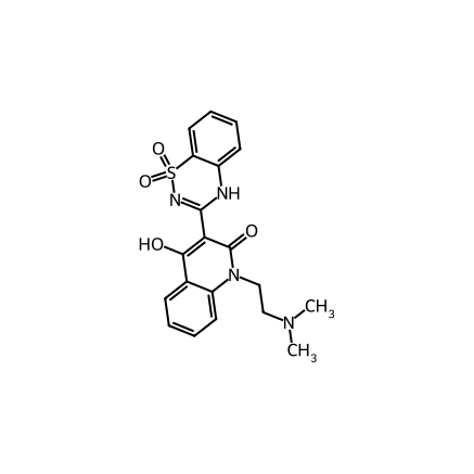 CN(C)CCn1c(=O)c(C2=NS(=O)(=O)c3ccccc3N2)c(O)c2ccccc21